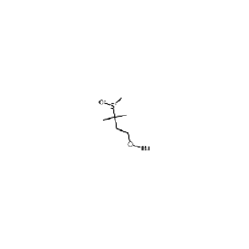 CCC(C)OCCC(C)(C)[S+](C)[O-]